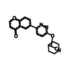 O=c1ccoc2ccc(-c3ccc(OC4CN5CCC4CC5)nn3)cc12